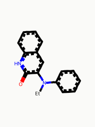 CCN(c1ccccc1)c1cc2ccccc2[nH]c1=O